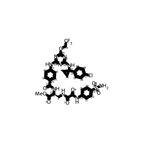 COC(=O)[C@H](CNC(=O)C(=O)Nc1ccc(S(N)(=O)=O)cc1)NC(=O)c1ccc(Nc2nc(NC3(c4ccc(Cl)cc4)CC3)nc(OCC(F)(F)F)n2)cc1